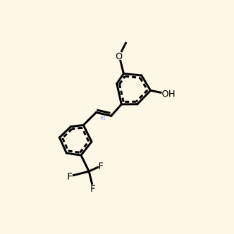 COc1cc(O)cc(/C=C/c2cccc(C(F)(F)F)c2)c1